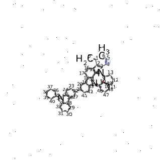 C=Cc1c(/C=C\C)n(-c2ccccc2)c2c1ccc1c3cc(-c4ccc5c(c4)c4ccccc4n5-c4ccccc4)ccc3n(-c3ccccc3)c12